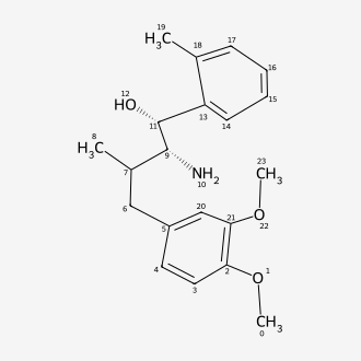 COc1ccc(CC(C)[C@@H](N)[C@H](O)c2ccccc2C)cc1OC